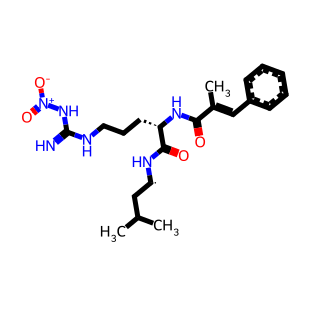 C/C(=C\c1ccccc1)C(=O)N[C@@H](CCCNC(=N)N[N+](=O)[O-])C(=O)N[CH]CC(C)C